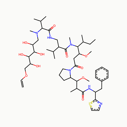 C=COCC(O)C(O)C(O)C(O)CN(C)C(C(=O)NCC(C(=O)N(C)C(C(C)CC)C(CC(=O)N1CCCC1C(OC)C(C)C(=O)NC(Cc1ccccc1)c1nccs1)OC)C(C)C)C(C)C